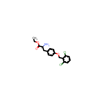 CCOC(=O)[C@@H](N)Cc1ccc(OCc2c(Cl)cccc2Cl)cc1